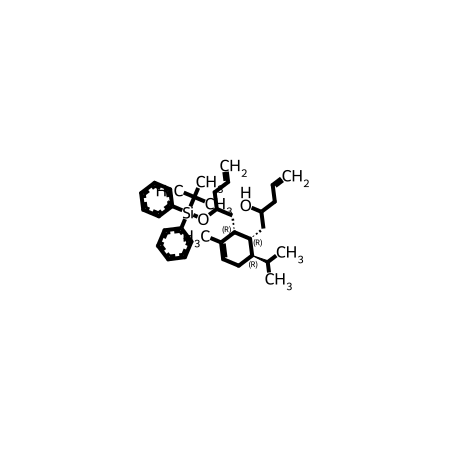 C=CCC(O)C[C@@H]1[C@@H](C(C)C)CC=C(C)[C@@H]1CC(CC=C)O[Si](c1ccccc1)(c1ccccc1)C(C)(C)C